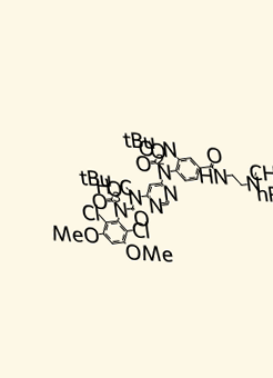 CCCN(C)CCNC(=O)c1ccc(N(C(=O)OC(C)(C)C)c2cc(N(C)C(=O)N(C(=O)OC(C)(C)C)c3c(Cl)c(OC)cc(OC)c3Cl)ncn2)c([N+](=O)[O-])c1